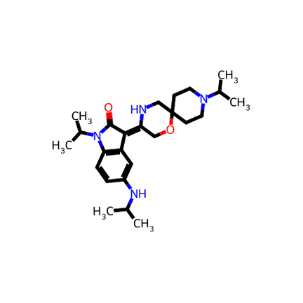 CC(C)Nc1ccc2c(c1)/C(=C1\COC3(CCN(C(C)C)CC3)CN1)C(=O)N2C(C)C